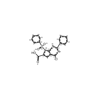 O=C(O)c1cc2c(Cl)nc(-c3ccccc3)nc2n1S(=O)(=O)c1ccccc1